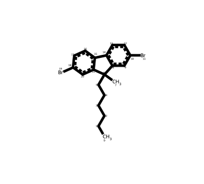 CCCCCCC1(C)c2cc(Br)ccc2-c2ccc(Br)cc21